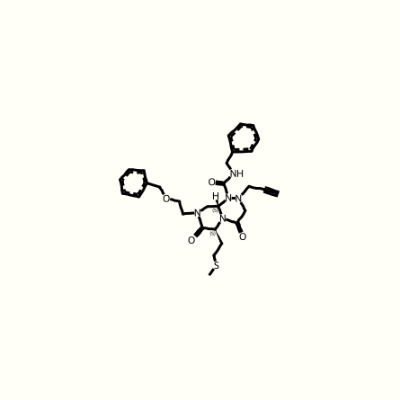 C#CCN1CC(=O)N2[C@@H](CCSC)C(=O)N(CCOCc3ccccc3)C[C@@H]2N1C(=O)NCc1ccccc1